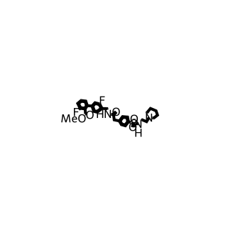 COC(=O)c1c(F)cccc1-c1ccc(CNC(=O)Cc2ccc(S(=O)(=O)NCCN3CCCCC3)cc2)c(F)c1